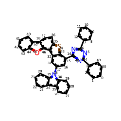 c1ccc(-c2nc(-c3ccccc3)nc(-c3cc(-n4c5ccccc5c5ccccc54)cc4c3sc3ccc5c6ccccc6oc5c34)n2)cc1